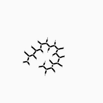 II(I)I(I)I(I)I(I)I(I)I(I)I(I)I(I)I(I)I(I)I(I)I(I)I(I)I(I)I(I)I(I)I(I)I